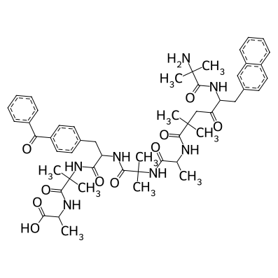 CC(NC(=O)C(C)(C)NC(=O)C(Cc1ccc(C(=O)c2ccccc2)cc1)NC(=O)C(C)(C)NC(=O)C(C)NC(=O)C(C)(C)CC(=O)C(Cc1ccc2ccccc2c1)NC(=O)C(C)(C)N)C(=O)O